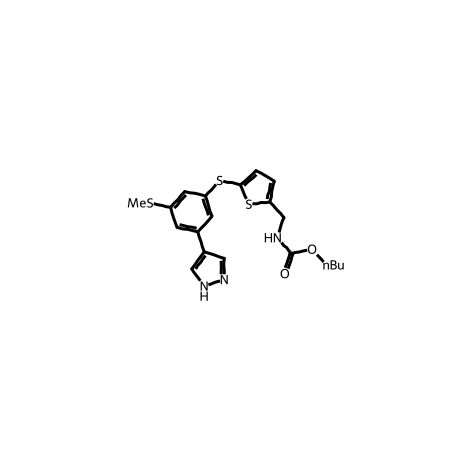 CCCCOC(=O)NCc1ccc(Sc2cc(SC)cc(-c3cn[nH]c3)c2)s1